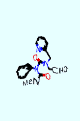 CNC(=O)N(C(=O)N(C[C]=O)Cc1ccccn1)c1ccccc1